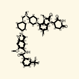 COc1cc2nn([C@H]3CC[C@H](CN(C)C4CCN(c5cc(F)cc6c5n(C)c(=O)n6C5CCC(=O)NC5=O)CC4)CC3)cc2cc1NC(=O)c1cccc(C(F)(F)F)n1